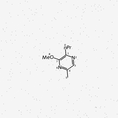 CCCc1ncc(C)nc1OC